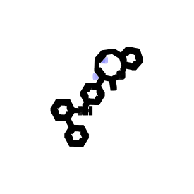 C=C1Oc2ccccc2C/C=C\C=C/1c1ccc(Nc2ccccc2-c2ccccc2)cc1